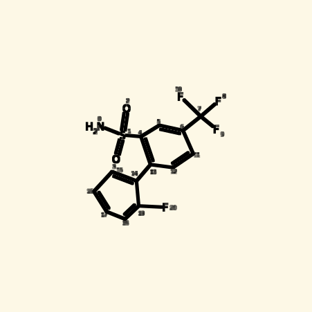 NS(=O)(=O)c1cc(C(F)(F)F)ccc1-c1ccccc1F